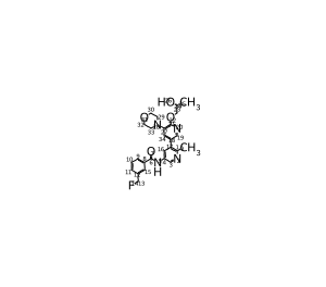 Cc1ncc(NC(=O)c2cccc(CF)c2)cc1-c1cnc(OC[C@H](C)O)c(N2CCOCC2)c1